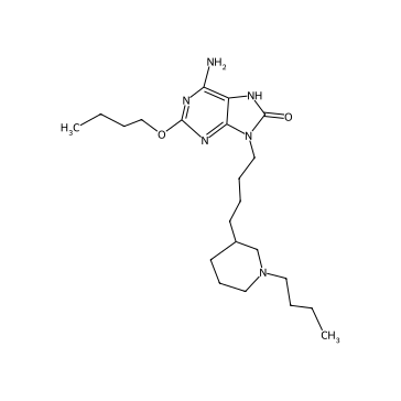 CCCCOc1nc(N)c2[nH]c(=O)n(CCCCC3CCCN(CCCC)C3)c2n1